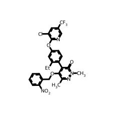 CCc1cc(Oc2ncc(C(F)(F)F)cc2Cl)ccc1-c1c(OCc2ccccc2[N+](=O)[O-])c(C)nn(C)c1=O